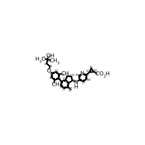 Cc1cc(OCCC(C)(C)O)cc(C)c1-c1ccc(F)c2c1CC[C@H]2Nc1ccc(C2CC2C(=O)O)nc1